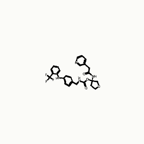 O=C(Cc1cccnc1)N[C@]1(OC(=O)NCc2ccc(Nc3ccccc3C(F)(F)F)cc2)CCOC1